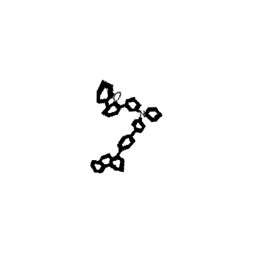 c1ccc(N(c2ccc(-c3ccc(-c4cccc5c4ccc4ccccc45)cc3)cc2)c2cccc(-c3cccc4c3oc3ccccc34)c2)cc1